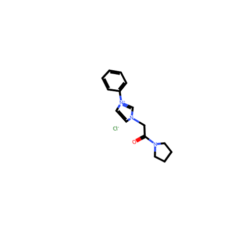 O=C(Cn1cc[n+](-c2ccccc2)c1)N1CCCC1.[Cl-]